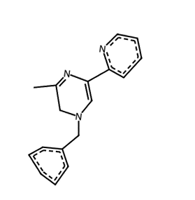 CC1=NC(c2ccccn2)=CN(Cc2ccccc2)C1